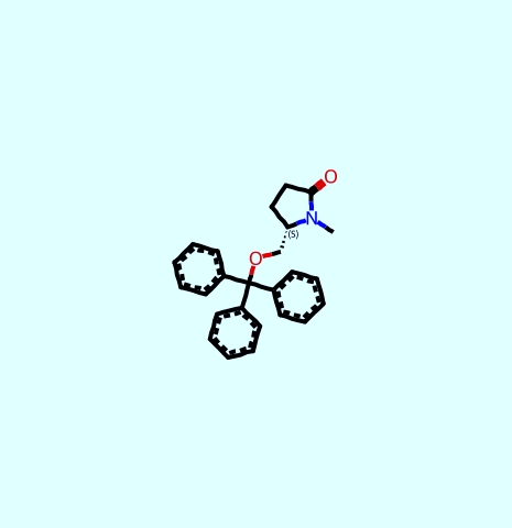 CN1C(=O)CC[C@H]1COC(c1ccccc1)(c1ccccc1)c1ccccc1